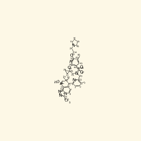 Cc1ccc(C(c2ccn3c(C(F)(F)F)nnc3c2C)C(C)(C)C(=O)O)nc1CN1CC2(CC2)Oc2nc(OCCN3CCCC3)c(C)cc2S1(=O)=O